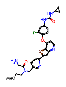 COCCN(Cc1ccc(-c2cc3nccc(Oc4ccc(NC(=O)NC5CC5)cc4F)c3s2)nc1)C(=O)CN